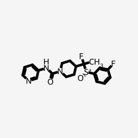 CC(F)(C1CCN(C(=O)Nc2cccnc2)CC1)[S+]([O-])c1cccc(F)c1